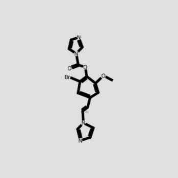 COc1cc(/C=C/n2ccnc2)cc(Br)c1OC(=O)n1ccnc1